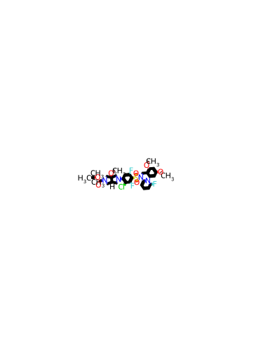 COc1ccc(CN(c2cccc(F)n2)S(=O)(=O)c2c(F)cc(N3C[C@H]4CN(C(=O)OC(C)(C)C)C[C@]4(OC)C3)c(Cl)c2F)c(OC)c1